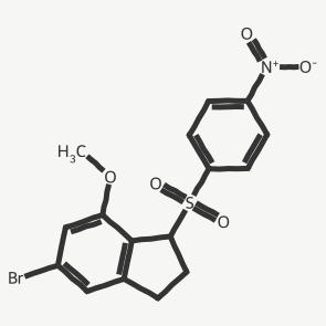 COc1cc(Br)cc2c1C(S(=O)(=O)c1ccc([N+](=O)[O-])cc1)CC2